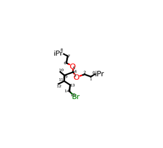 CC(C)CCOC(OCCC(C)C)C(C)C(C)CCBr